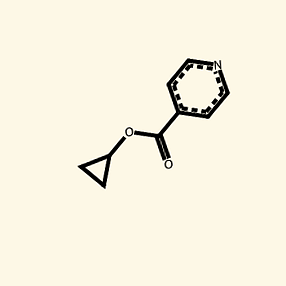 O=C(OC1CC1)c1ccncc1